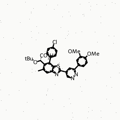 COc1ccc(-c2cc(-c3nc4cc(C)c([C@H](OC(C)(C)C)C(=O)O)c(-c5ccc(Cl)cc5)c4s3)cnn2)cc1OC